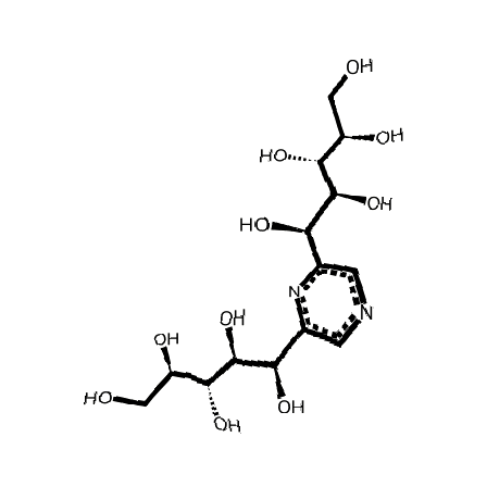 OC[C@@H](O)[C@@H](O)[C@@H](O)[C@H](O)c1cncc([C@@H](O)[C@H](O)[C@H](O)[C@H](O)CO)n1